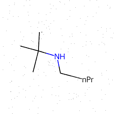 [CH2]C(C)(C)NCCCC